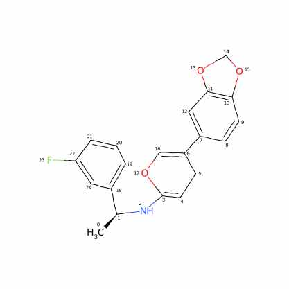 C[C@H](NC1=CCC(c2ccc3c(c2)OCO3)=CO1)c1cccc(F)c1